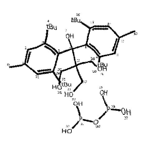 Cc1cc(C(C)(C)C)c(C(O)(c2c(C(C)(C)C)cc(C)cc2C(C)(C)C)C(CO)(CO)CO)c(C(C)(C)C)c1.OP(O)OP(O)O